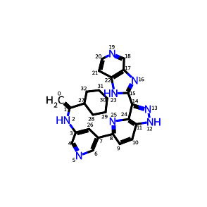 C=C(Nc1cncc(-c2ccc3[nH]nc(-c4nc5cnccc5[nH]4)c3n2)c1)C1CCCCC1